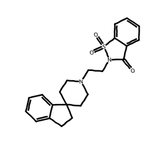 O=C1c2ccccc2S(=O)(=O)N1CCN1CCC2(CCc3ccccc32)CC1